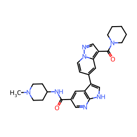 CN1CCC(NC(=O)c2cnc3[nH]cc(-c4ccn5ncc(C(=O)N6CCCCC6)c5c4)c3c2)CC1